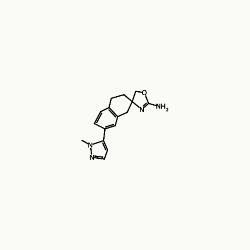 Cn1nccc1-c1ccc2c(c1)CC1(CC2)COC(N)=N1